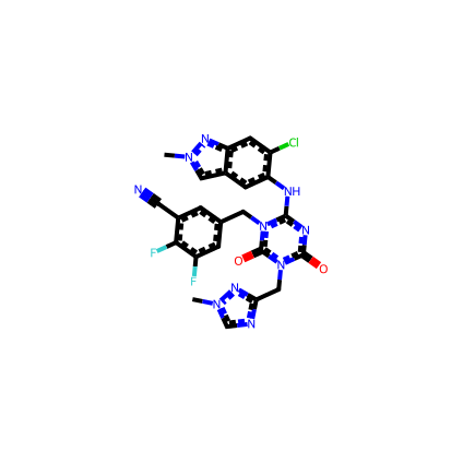 Cn1cnc(Cn2c(=O)nc(Nc3cc4cn(C)nc4cc3Cl)n(Cc3cc(F)c(F)c(C#N)c3)c2=O)n1